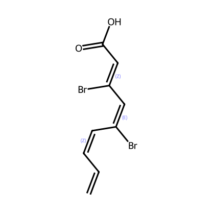 C=C\C=C/C(Br)=C\C(Br)=C\C(=O)O